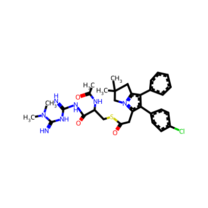 CC(=O)NC(CSC(=O)Cc1c(-c2ccc(Cl)cc2)c(-c2ccccc2)c2n1CC(C)(C)C2)C(=O)NC(=N)NC(=N)N(C)C